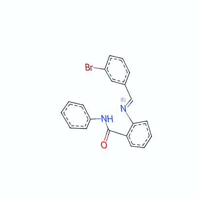 O=C(Nc1ccccc1)c1ccccc1/N=C/c1cccc(Br)c1